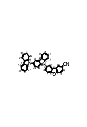 N#Cc1ccc2oc3ccc(-n4c5ccccc5c5cc(-n6c7c(c8ccccc86)C=CCC7)ccc54)cc3c2c1